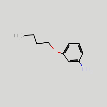 BCCCOc1cccc(N)c1